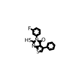 O=c1c2c(-c3ccccc3)csc2nc(S)n1-c1cccc(F)c1